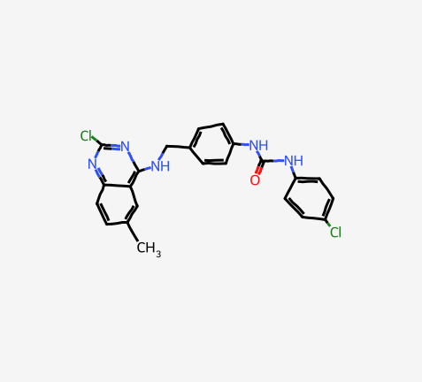 Cc1ccc2nc(Cl)nc(NCc3ccc(NC(=O)Nc4ccc(Cl)cc4)cc3)c2c1